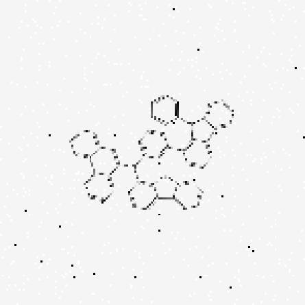 c1ccc(-n2c3ccccc3c3cccc(-c4cccc(N(c5cc6ccccc6c6ccccc56)c5cccc6c5sc5ccccc56)c4)c32)cc1